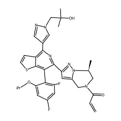 C=CC(=O)N1Cc2cc(-c3nc(-c4cnn(CC(C)(C)O)c4)c4ccsc4c3-c3c(F)cc(F)cc3OC(C)C)nn2[C@@H](C)C1